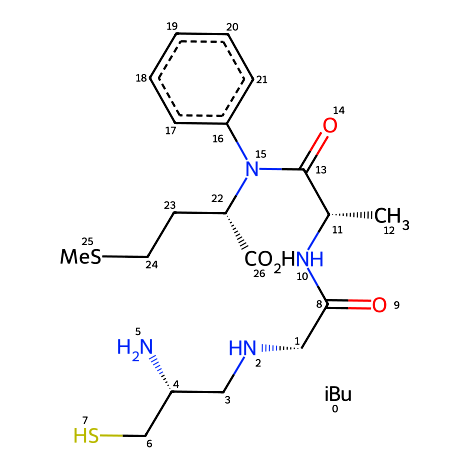 CC[C@H](C)[C@H](NC[C@@H](N)CS)C(=O)N[C@@H](C)C(=O)N(c1ccccc1)[C@@H](CCSC)C(=O)O